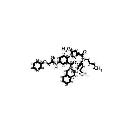 CCCCN(CCCC)C(=O)c1cc(C)n(-c2ccc(NC(=O)COc3cccnc3)cc2C(=O)N2Cc3ccccc3C[C@H]2CO)n1